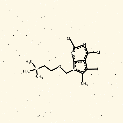 Cc1c(I)c2c(Cl)nc(Cl)nc2n1COCC[Si](C)(C)C